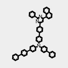 c1ccc(-c2ccc(-c3ccc(N(c4ccc(-c5ccccc5)cc4)c4ccc(-c5ccc(-c6cc(-c7cccc8ccccc78)nc(-c7ccccc7)n6)cc5)cc4)cc3)cc2)cc1